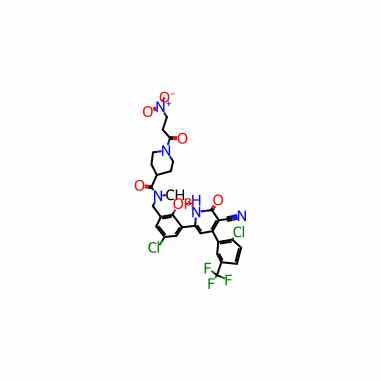 CN(Cc1cc(Cl)cc(-c2cc(-c3cc(C(F)(F)F)ccc3Cl)c(C#N)c(=O)[nH]2)c1O)C(=O)C1CCN(C(=O)CC[N+](=O)[O-])CC1